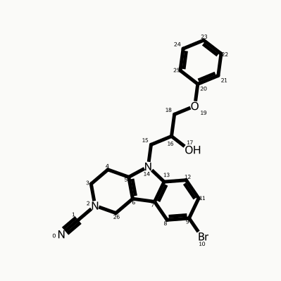 N#CN1CCc2c(c3cc(Br)ccc3n2CC(O)COc2ccccc2)C1